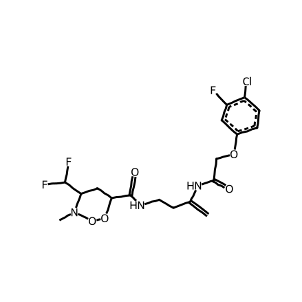 C=C(CCNC(=O)C1CC(C(F)F)N(C)OO1)NC(=O)COc1ccc(Cl)c(F)c1